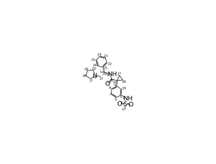 CS(=O)(=O)Nc1cccc(C2(C(=O)N[C@H](CN3CCCC3)c3ccccc3)CC2)c1